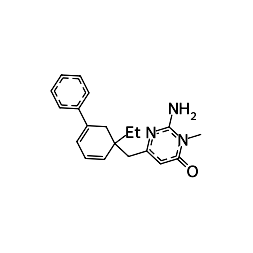 CCC1(Cc2cc(=O)n(C)c(N)n2)C=CC=C(c2ccccc2)C1